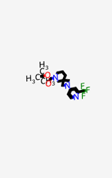 CC(C)(C)OC(=O)N1CCCC2(C1)CN(c1ccnc(C(F)(F)F)c1)C2